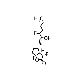 CCCCC(F)C(O)/C=C/[C@H]1CC[C@@H]2OC(=O)[C@H](F)[C@@H]21